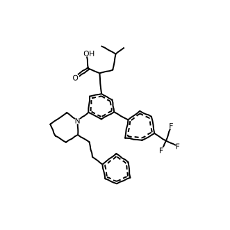 CC(C)CC(C(=O)O)c1cc(-c2ccc(C(F)(F)F)cc2)cc(N2CCCCC2CCc2ccccc2)c1